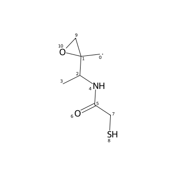 [CH2]C1(C(C)NC(=O)CS)CO1